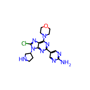 Nc1ncc(-c2nc(N3CCOCC3)c3nc(Cl)n([C@H]4CCNC4)c3n2)cn1